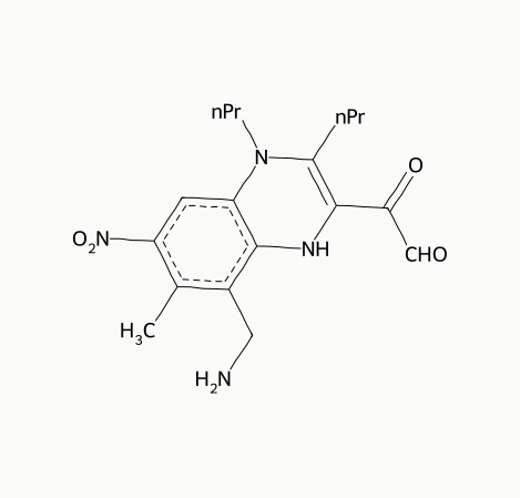 CCCC1=C(C(=O)C=O)Nc2c(cc([N+](=O)[O-])c(C)c2CN)N1CCC